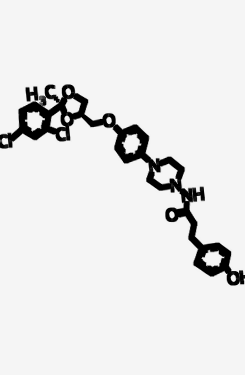 C[C@]1(c2ccc(Cl)cc2Cl)OC[C@@H](COc2ccc(N3CCN(NC(=O)CCc4ccc(O)cc4)CC3)cc2)O1